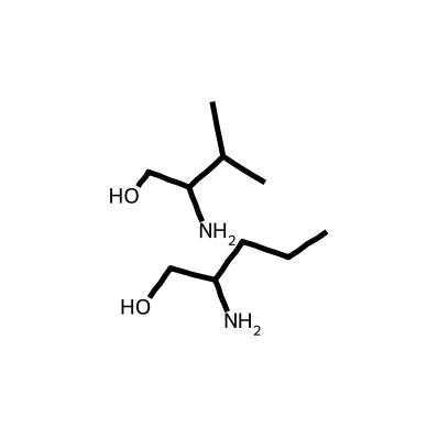 CC(C)C(N)CO.CCCC(N)CO